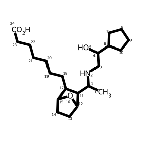 CC(NCC(O)C1CCCC1)C1C2CCC(O2)C1CCCCCCC(=O)O